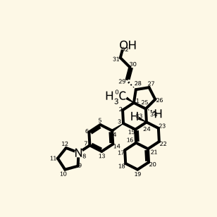 C[C@]12C[C@H](c3ccc(N4CCCC4)cc3)C3=C4CCCC=C4CC[C@H]3[C@@H]1CC[C@H]2C=CCO